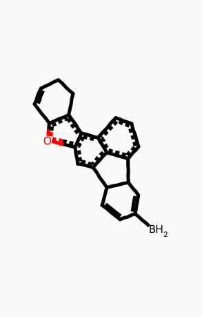 BC1=CC2c3cccc4c3c(cc3oc5c(c34)CCC=C5)C2C=C1